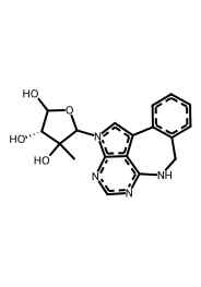 CC1(O)C(n2cc3c4c(ncnc42)NCc2ccccc2-3)OC(O)[C@H]1O